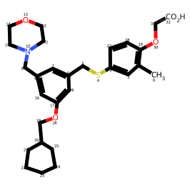 Cc1cc(SCc2cc(CN3CCOCC3)cc(OCC3CCCCC3)c2)ccc1OCC(=O)O